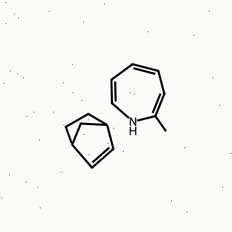 C1=CC2CCC1C2.CC1=CC=CC=CN1